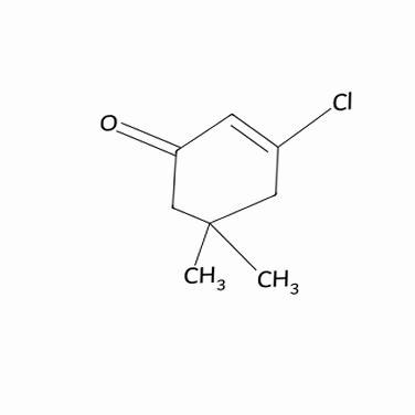 CC1(C)CC(=O)C=C(Cl)C1